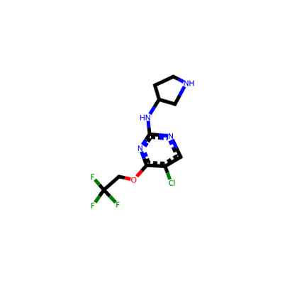 FC(F)(F)COc1nc(NC2CCNC2)ncc1Cl